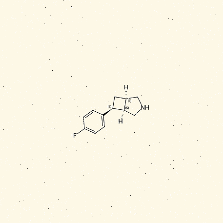 Fc1ccc([C@H]2C[C@H]3CNC[C@H]32)cc1